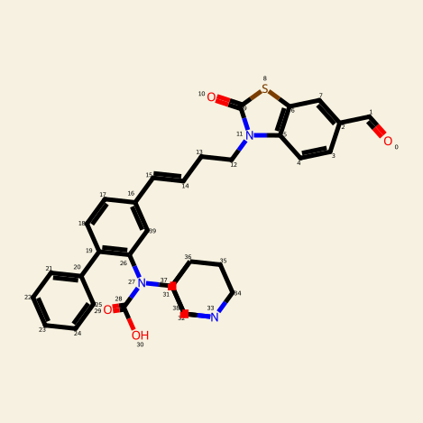 O=Cc1ccc2c(c1)sc(=O)n2CCC=Cc1ccc(-c2ccccc2)c(N(C(=O)O)C2CN3CCC2CC3)c1